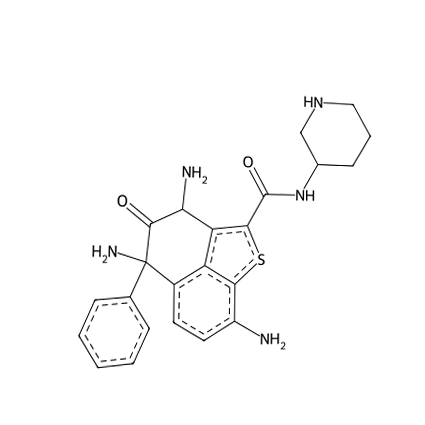 Nc1ccc2c3c(c(C(=O)NC4CCCNC4)sc13)C(N)C(=O)C2(N)c1ccccc1